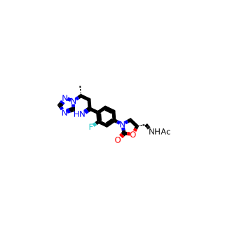 CC(=O)NC[C@H]1CN(c2ccc(C(=N)C[C@@H](C)n3cncn3)c(F)c2)C(=O)O1